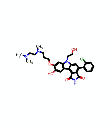 CN(C)CCN(C)CCCOc1cc2c(cc1O)c1c3c(c(-c4ccccc4Cl)cc1n2CCO)C(=O)NC3=O